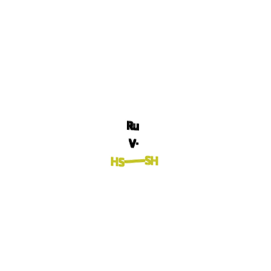 SS.[Ru].[V]